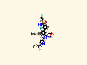 CCCNc1ccc(-c2nc(N3CCOCC3)c3cc(-c4cccc(N[S@+]([O-])CCCF)c4F)cc(OC)c3n2)cn1